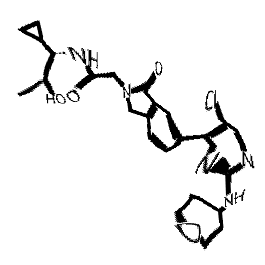 C[C@H](O)[C@@H](NC(=O)CN1Cc2ccc(-c3nc(NC4CCOCC4)ncc3Cl)cc2C1=O)C1CC1